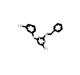 Cc1cc(Oc2cccc(C(F)(F)F)c2)nc(OCc2ccccc2)n1